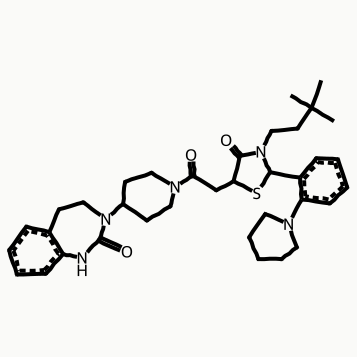 CC(C)(C)CCN1C(=O)C(CC(=O)N2CCC(N3CCc4ccccc4NC3=O)CC2)SC1c1ccccc1N1CCCCC1